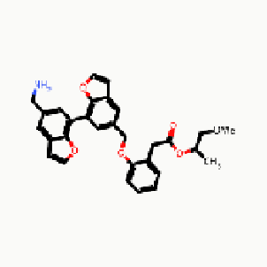 COCC(C)OC(=O)Cc1ccccc1OCc1cc(-c2cc(CN)cc3ccoc23)c2occc2c1